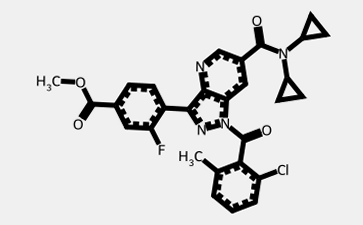 COC(=O)c1ccc(-c2nn(C(=O)c3c(C)cccc3Cl)c3cc(C(=O)N(C4CC4)C4CC4)cnc23)c(F)c1